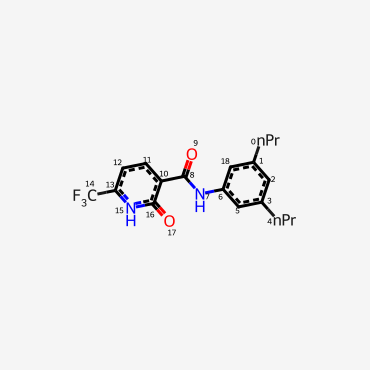 CCCc1cc(CCC)cc(NC(=O)c2ccc(C(F)(F)F)[nH]c2=O)c1